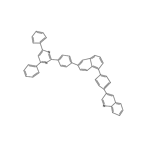 c1ccc(-c2cc(-c3ccccc3)nc(-c3ccc(-c4ccc5c(-c6ccc(-c7cnc8ccccc8c7)cc6)cccc5c4)cc3)n2)cc1